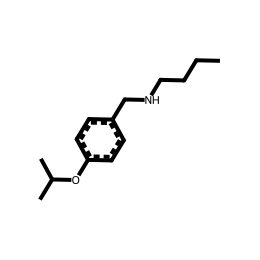 CCCCNCc1ccc(OC(C)C)cc1